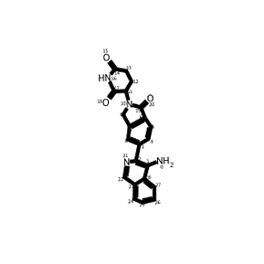 Nc1c(-c2ccc3c(c2)CN(C2CCC(=O)NC2=O)C3=O)ncc2ccccc12